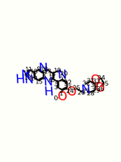 COc1cc2c(Nc3ccc4cn[nH]c4c3)c(C#N)cnc2cc1OCCN1CCC2(CC1)OCCO2